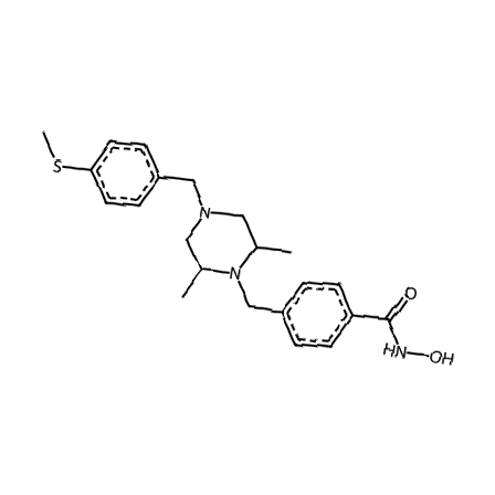 CSc1ccc(CN2CC(C)N(Cc3ccc(C(=O)NO)cc3)C(C)C2)cc1